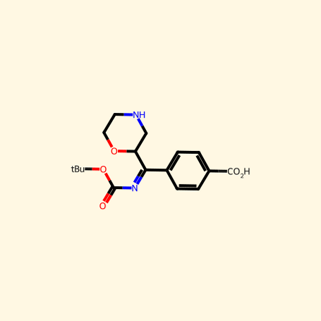 CC(C)(C)OC(=O)N=C(c1ccc(C(=O)O)cc1)C1CNCCO1